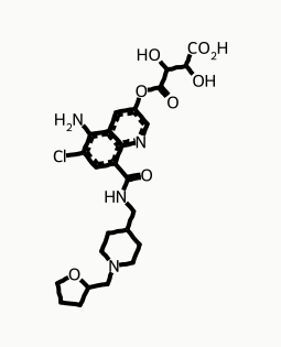 Nc1c(Cl)cc(C(=O)NCC2CCN(CC3CCCO3)CC2)c2ncc(OC(=O)C(O)C(O)C(=O)O)cc12